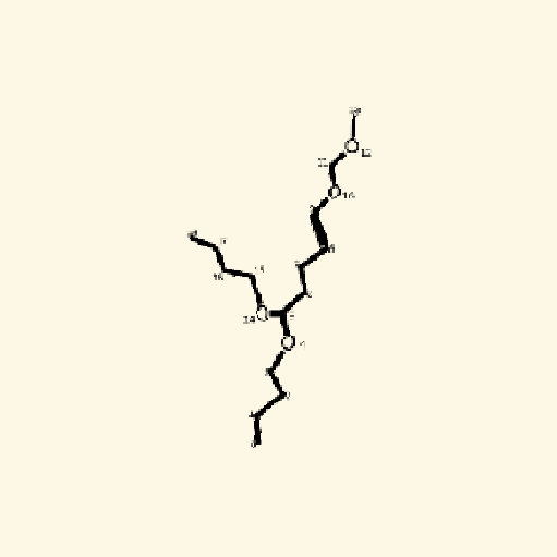 CCCCOC(CCC=COCOC)OCCCC